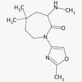 CNC1CC(C)(C)CCN(c2coc(C)n2)C1=O